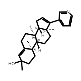 CC1(O)C=C2CC[C@@H]3[C@H](CC[C@]4(C)C(c5cccnc5)=CC[C@@H]34)[C@@]2(C)CC1